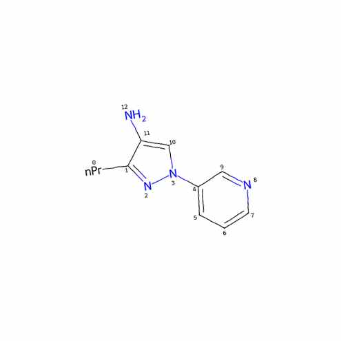 CCCc1nn(-c2cccnc2)cc1N